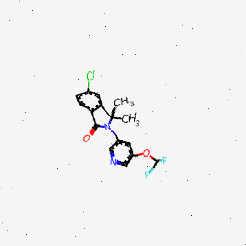 CC1(C)c2cc(Cl)ccc2C(=O)N1c1cncc(OC(F)F)c1